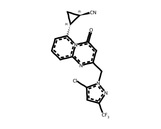 N#C[C@@H]1C[C@H]1c1cccc2nc(Cn3nc(C(F)(F)F)cc3Cl)cc(=O)n12